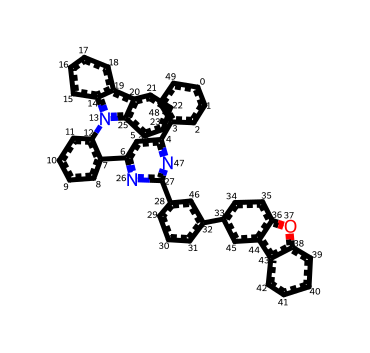 c1ccc(-c2cc(-c3ccccc3-n3c4ccccc4c4ccccc43)nc(-c3cccc(-c4ccc5oc6ccccc6c5c4)c3)n2)cc1